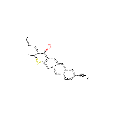 Bc1ccc2cc3cc4sc(=C)/c(=C\C=C/C)c(=O)c4cc3cc2c1